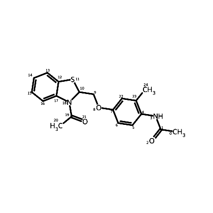 CC(=O)Nc1ccc(OCC2Sc3ccccc3N2C(C)=O)cc1C